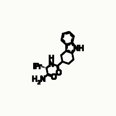 CC(C)[C@H](NC(=O)C1CCc2[nH]c3ccccc3c2C1)C(N)=O